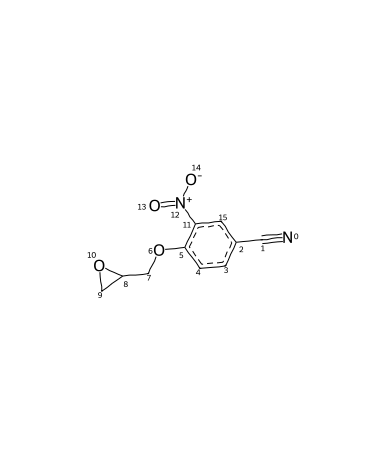 N#Cc1ccc(OCC2CO2)c([N+](=O)[O-])c1